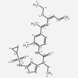 C=N/C=C(\N=C(/C)c1ccc(NC(=O)C(CC)c2csc(NS(=O)(=O)C3CC3)n2)c(C)c1)OCC